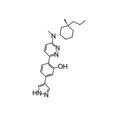 CCC[C@]1(C)CCC[C@H](N(C)c2ccc(-c3ccc(-c4cn[nH]c4)cc3O)nn2)C1